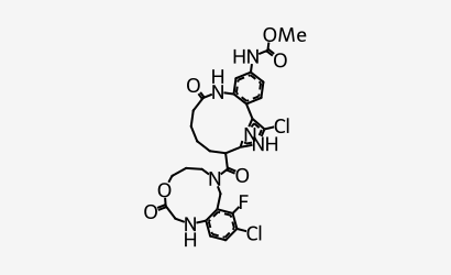 COC(=O)Nc1ccc2c(c1)NC(=O)CCCCC(C(=O)N1CCCOC(=O)CNc3ccc(Cl)c(F)c3C1)c1nc-2c(Cl)[nH]1